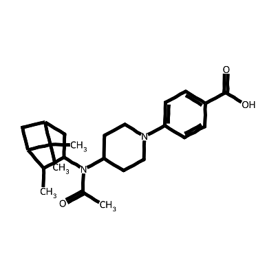 CC(=O)N(C1CCN(c2ccc(C(=O)O)cc2)CC1)C1CC2CC(C1C)C2(C)C